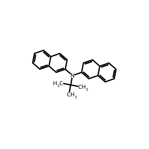 CC(C)(C)N(c1ccc2ccccc2c1)c1ccc2ccccc2c1